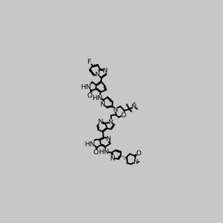 CN1CC[C@H](c2ccc(Nc3cnc(-c4ccnc5c4ccn5CC4COC(C(C)(C)N(C)C)CN4c4ccc(Nc5ccc(-c6cnc7cc(F)ccn67)c6c5C(=O)NC6)nc4)c4c3C(=O)NC4)nc2)CC1=O